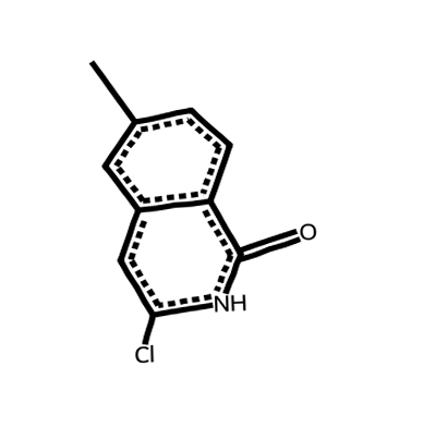 Cc1ccc2c(=O)[nH]c(Cl)cc2c1